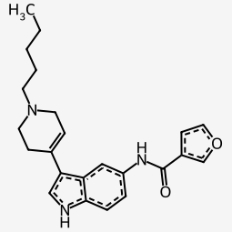 CCCCCN1CC=C(c2c[nH]c3ccc(NC(=O)c4ccoc4)cc23)CC1